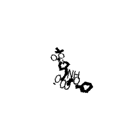 COC(=O)C(NC(=O)OCc1ccccc1)C1CCN(C(=O)OC(C)(C)C)CC1